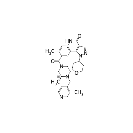 Cc1cnccc1CN1CCN(C(=O)c2cc3c(cc2C)[nH]c(=O)c2cnn(C4CCOCC4)c23)C[C@@H]1C